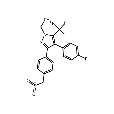 CCn1nc(-c2ccc(C[SH](=O)=O)cc2)c(-c2ccc(F)cc2)c1C(F)(F)F